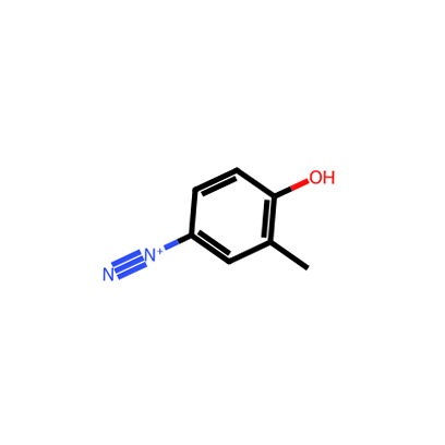 Cc1cc([N+]#N)ccc1O